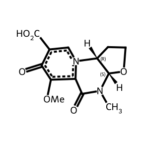 COc1c2n(cc(C(=O)O)c1=O)[C@@H]1CCO[C@@H]1N(C)C2=O